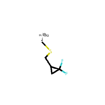 CC[C@@H](C)CSCC1CC1(F)F